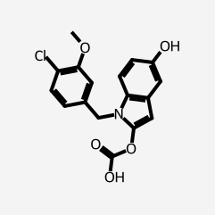 COc1cc(Cn2c(OC(=O)O)cc3cc(O)ccc32)ccc1Cl